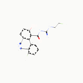 N#Cc1ccc(O)c(C(=O)NC(=N)NCCF)c1-c1cccc(F)c1C#N